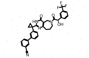 N#Cc1cccc(-c2cccc(C3(c4nc5c(c(=O)[nH]4)CN(C(=O)[C@H](O)c4cccc(C(F)(F)F)c4)CCC5)CC3)c2)c1